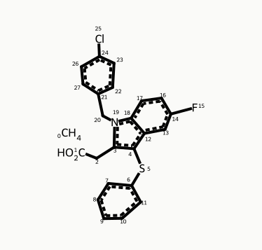 C.O=C(O)Cc1c(Sc2ccccc2)c2cc(F)ccc2n1Cc1ccc(Cl)cc1